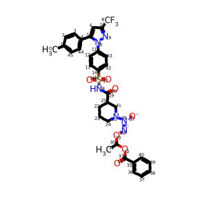 Cc1ccc(-c2cc(C(F)(F)F)nn2-c2ccc(S(=O)(=O)NC(=O)C3CCCN(/[N+]([O-])=N\OC(C)OC(=O)c4ccccc4)C3)cc2)cc1